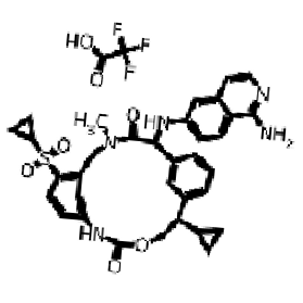 CN1Cc2cc(ccc2S(=O)(=O)C2CC2)NC(=O)OCC(C2CC2)c2cccc(c2)C(Nc2ccc3c(N)nccc3c2)C1=O.O=C(O)C(F)(F)F